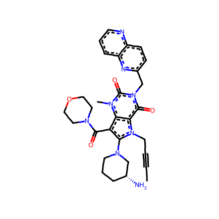 CC#CCn1c(N2CCC[C@@H](N)C2)c(C(=O)N2CCOCC2)c2c1c(=O)n(Cc1ccc3ncccc3n1)c(=O)n2C